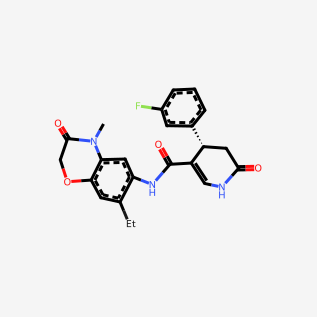 CCc1cc2c(cc1NC(=O)C1=CNC(=O)C[C@H]1c1cccc(F)c1)N(C)C(=O)CO2